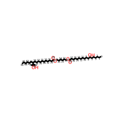 CCCCCCC(O)CCCCCCCCCCC(=O)OCCCCCCOC(=O)CCCCCCCCCCC(CCCCCC)C(C)(C)O